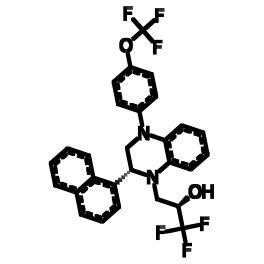 O[C@H](CN1c2ccccc2N(c2ccc(OC(F)(F)F)cc2)C[C@H]1c1cccc2ccccc12)C(F)(F)F